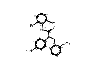 CCCCCCCCc1ccc(N(Cc2ccccc2OC)C(=O)Nc2c(C(C)C)cccc2C(C)C)cc1